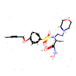 CC#CCOc1ccc(S(=O)(=O)N(CCN2CCOCC2)C(C(=O)NO)C(C)C)cc1